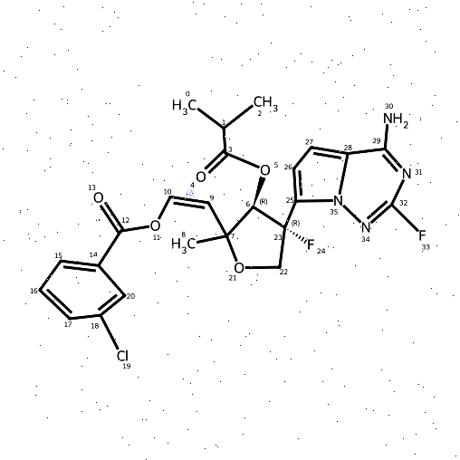 CC(C)C(=O)O[C@@H]1C(C)(/C=C\OC(=O)c2cccc(Cl)c2)OC[C@]1(F)c1ccc2c(N)nc(F)nn12